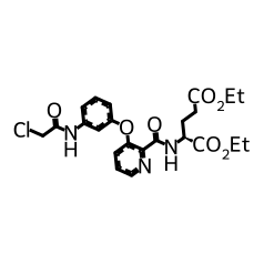 CCOC(=O)CC[C@H](NC(=O)c1ncccc1Oc1cccc(NC(=O)CCl)c1)C(=O)OCC